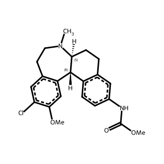 COC(=O)Nc1ccc2c(c1)CC[C@H]1[C@H]2c2cc(OC)c(Cl)cc2CCN1C